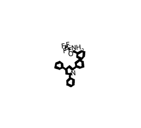 F[B-](F)(F)F.NC(=O)c1ccccc1.c1ccc(-c2cc(-c3ccccc3)nc(-c3ccccc3)c2)cc1